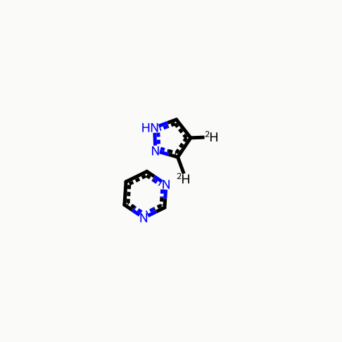 [2H]c1c[nH]nc1[2H].c1cncnc1